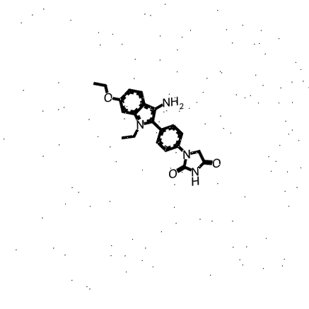 CCOc1ccc2c(N)c(-c3ccc(N4CC(=O)NC4=O)cc3)n(CC)c2c1